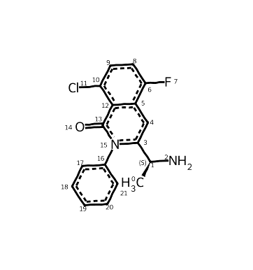 C[C@H](N)c1cc2c(F)ccc(Cl)c2c(=O)n1-c1ccccc1